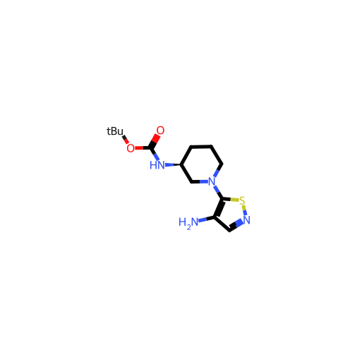 CC(C)(C)OC(=O)N[C@H]1CCCN(c2sncc2N)C1